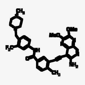 COc1nc2cnc(N)c(C#Cc3cc(C(=O)Nc4ccc(CN5CCN(C)CC5)c(C(F)(F)F)c4)ccc3C)c2nc1OC